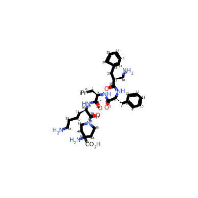 CC(C)C[C@@H](NC(=O)[C@@H](Cc1ccccc1)NC(=O)[C@H](CN)Cc1ccccc1)C(=O)N[C@H](CCCCN)C(=O)N1CCC(N)(C(=O)O)CC1